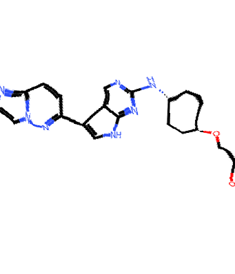 OCCO[C@H]1CC[C@H](Nc2ncc3c(-c4ccc5nccn5n4)c[nH]c3n2)CC1